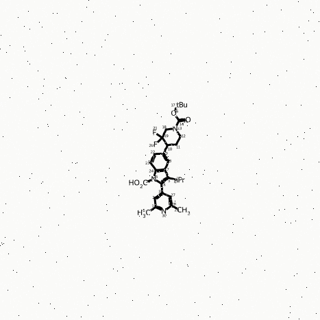 Cc1cc(-c2c(C(C)C)c3cc(C4CCN(C(=O)OC(C)(C)C)CC4(F)F)ccc3n2C(=O)O)cc(C)n1